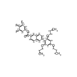 CCCOc1cc(OCCC)c(-c2ccc3cc(C(=O)Oc4cc(F)c(F)c(F)c4)ccc3c2)c(OCCC)c1